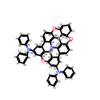 c1ccc(N(c2ccccc2)c2cc3c4c(c2)-c2ccc5c6c2N2B4c4c(cc(N(c7ccccc7)c7ccccc7)cc4-c4ccc7c(c42)B6c2c(cccc2O7)O5)O3)cc1